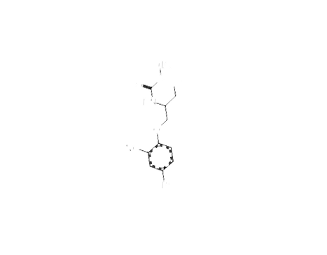 CC(C)CC(COc1ccc(Br)cc1C#N)NC(=O)OC(C)(C)C